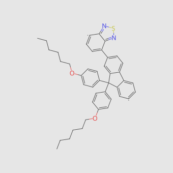 CCCCCCOc1ccc(C2(c3ccc(OCCCCCC)cc3)c3c[c]ccc3-c3ccc(-c4cc[c]c5nsnc45)cc32)cc1